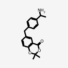 CC(N)c1ccc(Cc2ccc3c(c2)C(=O)OC(C)(C)O3)cc1